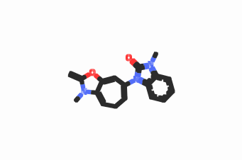 C=C1OC2=CC(n3c(=O)n(C)c4ccccc43)=CCC=C2N1C